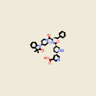 CC1(C)C(=O)N(C2CCN(C(=O)[C@H](CCc3ccccc3)NC(=O)[C@@H]3CCCNC3)CC2)c2ccccc21.O=C(O)c1cccnc1